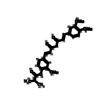 COc1ccc(/C=C/C(=O)CC(=O)/C=C/c2ccc(OC(=O)N(C)C)c(OC)c2)cc1OC